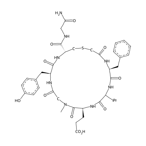 CC(C)C1NC(=O)[C@H](Cc2ccccc2)NC(=O)CSC[C@@H](C(=O)NCC(N)=O)NC(=O)[C@H](Cc2ccc(O)cc2)NC(=O)CN(C)C(=O)[C@H](CCC(=O)O)NC1=O